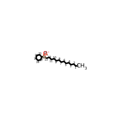 CCCCCCCCCCCCCC[S+]([O-])C1CCCCC1